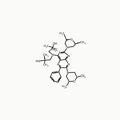 CC1CN(c2nc(N(CC(C)(C)O)CC(C)(C)O)c3nc(-c4ccccc4)c(N4CC(C)OC(C)C4)nc3n2)CC(C)O1